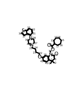 CC1(C)CC(=O)N(COC(=O)C2CCCCCC2)c2cc(OCCCCN3CCN(c4cccc5sccc45)CC3)ccc21